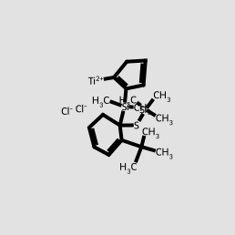 CC(C)(C)C1=CC=CCC1(S[Si](C)(C)C)[Si](C)(C)C1=[C]([Ti+2])CC=C1.[Cl-].[Cl-]